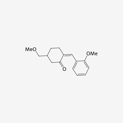 COCC1CCC(=Cc2ccccc2OC)C(=O)C1